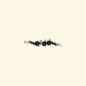 C/C=C/CCc1ccc(C(=O)Oc2ccc(-c3ccc(CC/C=C/C)c(F)c3)c(F)c2)c(F)c1